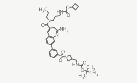 CCCN(CCCNC(=O)OC1CCC1)C(=O)C1=Cc2ccc(-c3cccc(S(=O)(=O)N4CC(CNC(=O)OC(C)(C)C)C4)c3)cc2N=C(N)C1